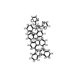 C[Si](C)(c1ncco1)C1([Si](C)(C)c2ncco2)c2ccccc2Oc2c1cccc2[Si](c1ccccc1)(c1ccccc1)c1cccc(-n2c3ccccc3n3c4ccccc4nc23)c1